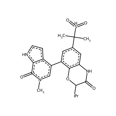 CC(C)C1Oc2c(cc(C(C)(C)[SH](=O)=O)cc2-c2cn(C)c(=O)c3[nH]ccc23)NC1=O